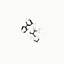 CN1CC(F)CNC1C(C(=O)Nc1cnccc1-c1cccnc1)C(N)N=O